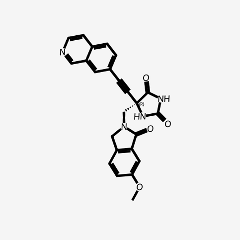 COc1ccc2c(c1)C(=O)N(C[C@@]1(C#Cc3ccc4ccncc4c3)NC(=O)NC1=O)C2